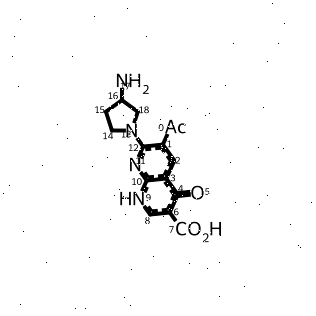 CC(=O)c1cc2c(=O)c(C(=O)O)c[nH]c2nc1N1CCC(N)C1